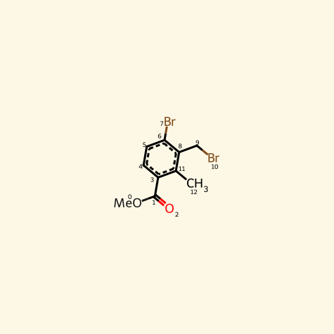 COC(=O)c1ccc(Br)c(CBr)c1C